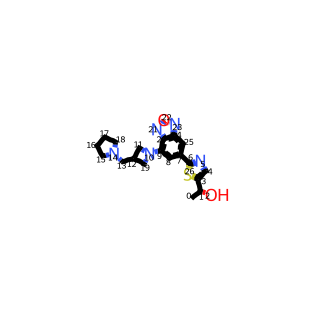 CC(O)c1cnc(-c2cc(N3CC(CN4CCCC4)C3)c3nonc3c2)s1